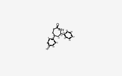 O=C1CCC(c2ccc(F)cc2)CC(c2ccccc2)N1